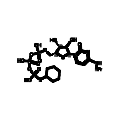 CCCNc1ccn([C@@H]2O[C@H](COP(=O)(O)OP(=O)(O)OP(=O)(O)SC3CCCCC3)[C@H](O)C2O)c(=O)n1